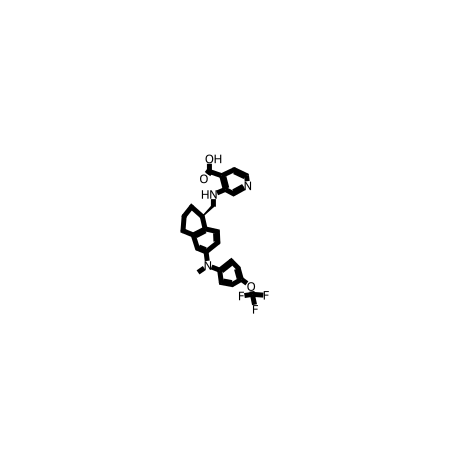 CN(c1ccc(OC(F)(F)F)cc1)c1ccc2c(c1)CCC[C@H]2CNc1cnccc1C(=O)O